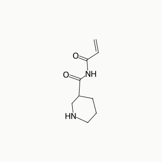 C=CC(=O)NC(=O)C1CCCNC1